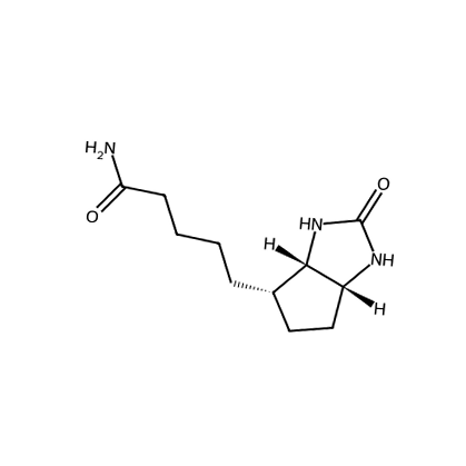 NC(=O)CCCC[C@H]1CC[C@H]2NC(=O)N[C@@H]12